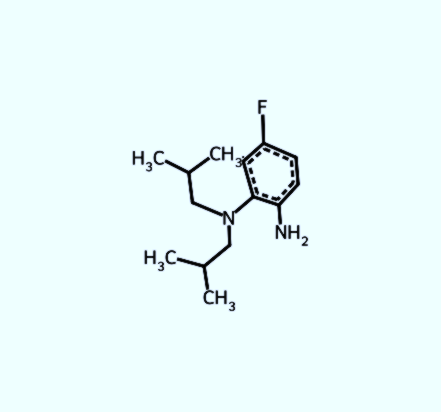 CC(C)CN(CC(C)C)c1[c]c(F)ccc1N